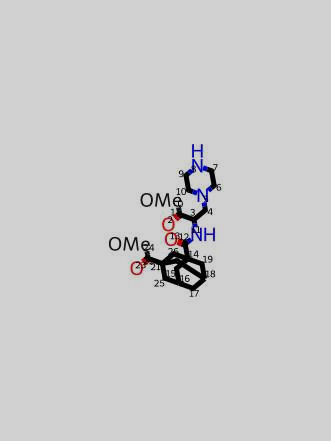 COC(=O)C(CN1CCNCC1)NC(=O)C12CC3CC(C1)CC(C(=O)OC)(C3)C2